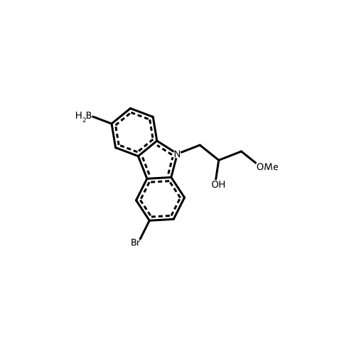 Bc1ccc2c(c1)c1cc(Br)ccc1n2CC(O)COC